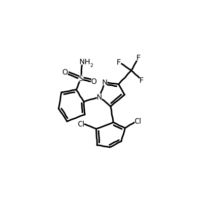 NS(=O)(=O)c1ccccc1-n1nc(C(F)(F)F)cc1-c1c(Cl)cccc1Cl